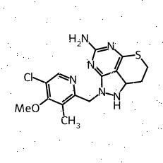 COc1c(Cl)cnc(CN2NC3CCSc4nc(N)nc2c43)c1C